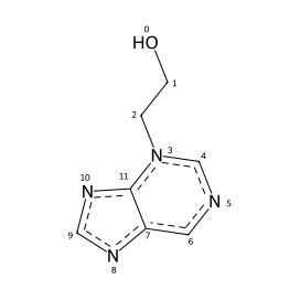 OCCn1cncc2ncnc1-2